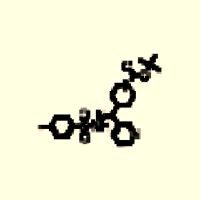 Cc1ccc(S(=O)(=O)N/N=C(\c2cccnc2)C2CCN(C(=O)OC(C)(C)C)CC2)cc1